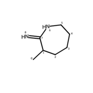 CC1CCCCNC1=N